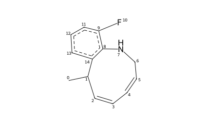 CC1/C=C\C=C/CNc2c(F)cccc21